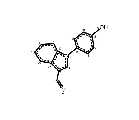 O=Cc1cn(-c2ccc(O)cc2)c2ccccc12